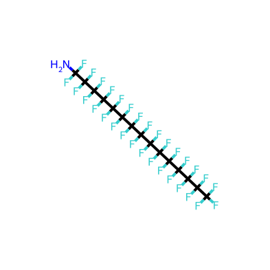 NC(F)(F)C(F)(F)C(F)(F)C(F)(F)C(F)(F)C(F)(F)C(F)(F)C(F)(F)C(F)(F)C(F)(F)C(F)(F)C(F)(F)C(F)(F)C(F)(F)C(F)(F)F